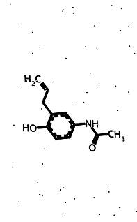 C=CCc1cc(NC(C)=O)ccc1O